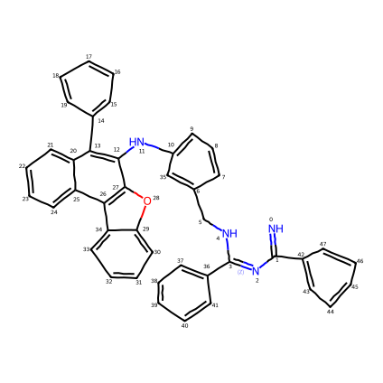 N=C(/N=C(\NCc1cccc(Nc2c(-c3ccccc3)c3ccccc3c3c2oc2ccccc23)c1)c1ccccc1)c1ccccc1